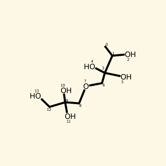 CC(O)C(O)(O)COCC(O)(O)CO